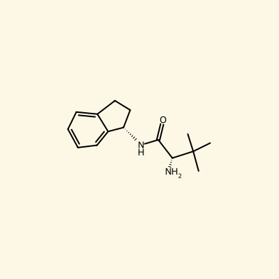 CC(C)(C)[C@H](N)C(=O)N[C@H]1CCc2ccccc21